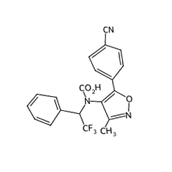 Cc1noc(-c2ccc(C#N)cc2)c1N(C(=O)O)C(c1ccccc1)C(F)(F)F